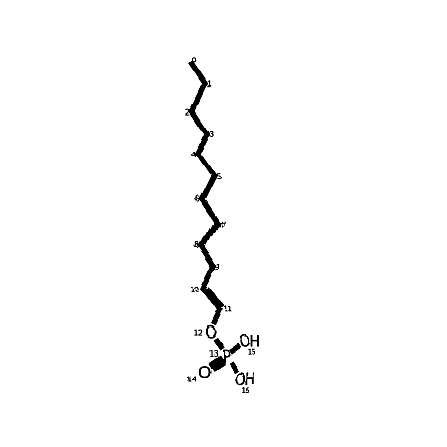 CCCCCCCCCCC=COP(=O)(O)O